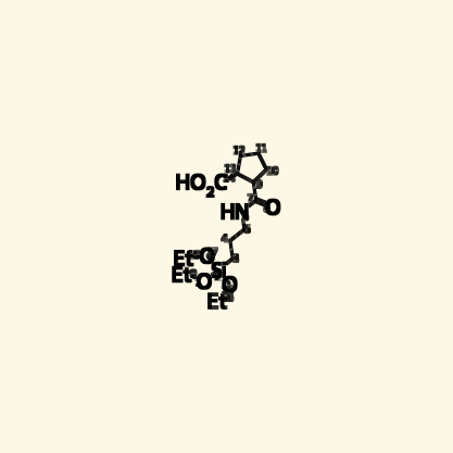 CCO[Si](CCCNC(=O)C1CCCC1C(=O)O)(OCC)OCC